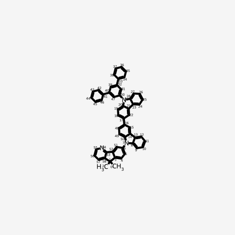 CC1(C)c2ccc(-n3c4ccccc4c4cc(-c5ccc6c(c5)c5ccccc5n6-c5cc(-c6ccccc6)cc(-c6ccccc6)c5)ccc43)cc2-c2ncccc21